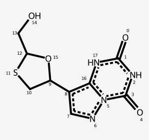 O=c1[nH]c(=O)n2ncc(C3CSC(CO)O3)c2[nH]1